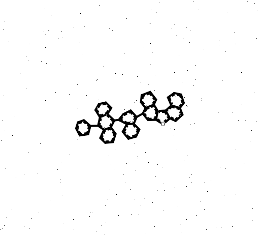 c1ccc(-c2c3ccccc3c(-c3ccc(-c4cc5oc6ccc7ccccc7c6c5c5ccccc45)c4ccccc34)c3ccccc23)cc1